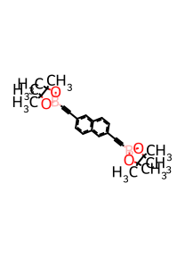 CC1(C)OB(C#Cc2ccc3cc(C#CB4OC(C)(C)C(C)(C)O4)ccc3c2)OC1(C)C